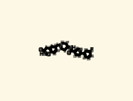 O=C1Cc2cc(CN3CCC(NC(=O)c4ccc(-c5cccc(F)c5)nc4)CC3)ccc2ON1